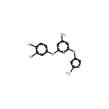 Cc1cc(Oc2csc(C(F)(F)F)c2)nc(Oc2ccc(Cl)c(Cl)c2)c1